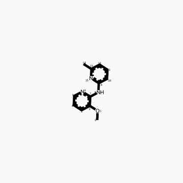 COc1cccnc1Nc1cccc(C)n1